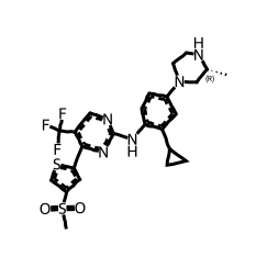 C[C@@H]1CN(c2ccc(Nc3ncc(C(F)(F)F)c(-c4cc(S(C)(=O)=O)cs4)n3)c(C3CC3)c2)CCN1